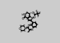 Cc1nc2cccc(-c3cc4c(n3OC(=O)C(F)(F)F)CCNC4=O)c2nc1N1CCOCC1